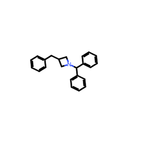 c1ccc(CC2CN(C(c3ccccc3)c3ccccc3)C2)cc1